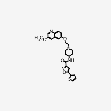 COc1cnc2ccc(OCCN3CCC(NC(=O)c4cc(-c5cccs5)on4)CC3)cc2c1